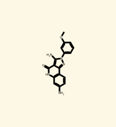 COc1cccc(-n2nc3c(c2N)c(=O)[nH]c2cc(N)ccc23)c1